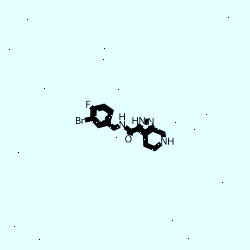 O=C(NCc1ccc(F)c(Br)c1)c1[nH]nc2c1CCNC2